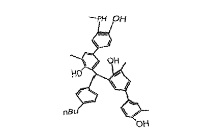 CCCCc1ccc(C(c2cc(-c3ccc(O)c(C)c3)cc(C)c2O)c2cc(-c3ccc(O)c(PC)c3)cc(C)c2O)cc1